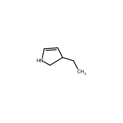 CCC1C=CNC1